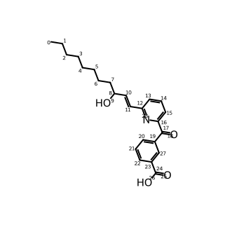 CCCCCCCCC(O)C=Cc1cccc(C(=O)c2cccc(C(=O)O)c2)n1